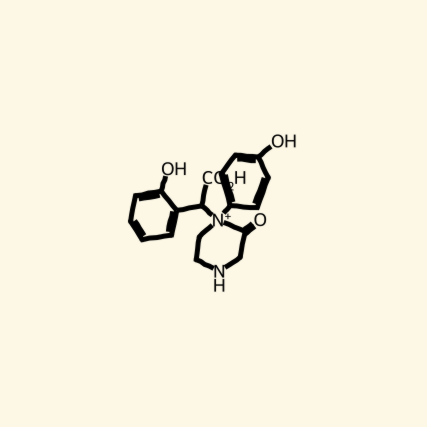 O=C(O)C(c1ccccc1O)[N+]1(c2ccc(O)cc2)CCNCC1=O